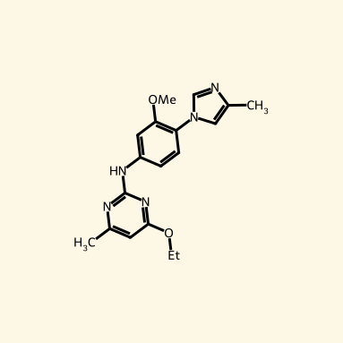 CCOc1cc(C)nc(Nc2ccc(-n3cnc(C)c3)c(OC)c2)n1